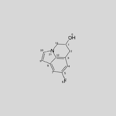 OC1Cc2cc(F)cc3ccn(c23)C1